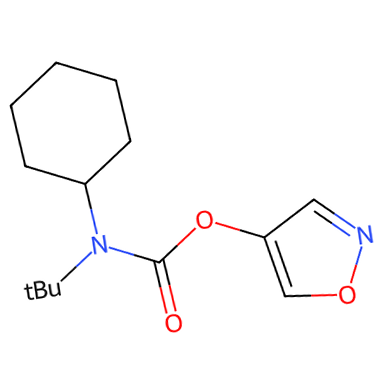 CC(C)(C)N(C(=O)Oc1cnoc1)C1CCCCC1